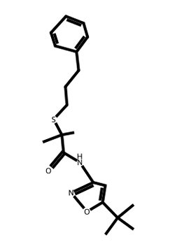 CC(C)(SCCCc1ccccc1)C(=O)Nc1cc(C(C)(C)C)on1